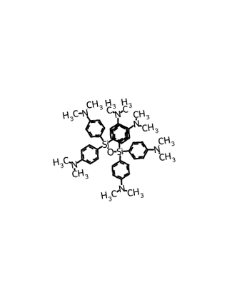 CN(C)c1ccc([Si](O[Si](c2ccc(N(C)C)cc2)(c2ccc(N(C)C)cc2)c2ccc(N(C)C)cc2)(c2ccc(N(C)C)cc2)c2ccc(N(C)C)cc2)cc1